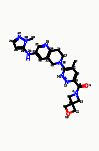 Cc1cc(C(=O)N2CC3(COC3)C2)nnc1N1CCc2ncc(Nc3ccnn3C)cc2C1